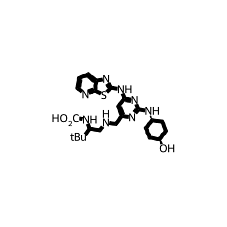 CC(C)(C)C(CNCc1cc(Nc2nc3cccnc3s2)nc(N[C@H]2CC[C@H](O)CC2)n1)NC(=O)O